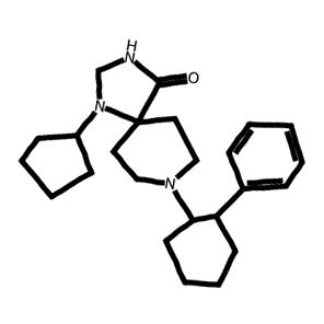 O=C1NCN(C2CCCC2)C12CCN(C1CCCCC1c1ccccc1)CC2